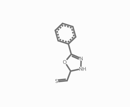 S=CC1NN=C(c2ccccc2)O1